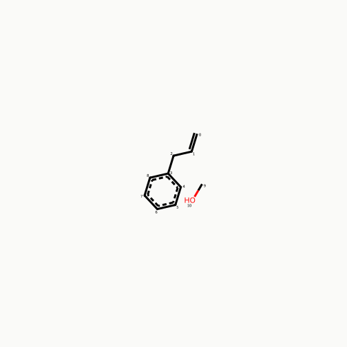 C=CCc1ccccc1.CO